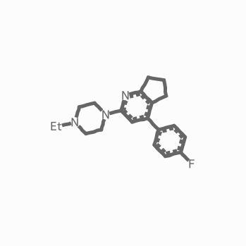 CCN1CCN(c2cc(-c3ccc(F)cc3)c3c(n2)CCC3)CC1